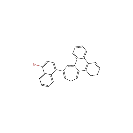 Brc1ccc(C2=CCC=c3c4c(c5ccccc5c3=C2)C=CCC4)c2ccccc12